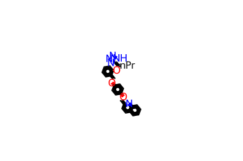 CCCC(Oc1ccccc1COc1ccc(OCc2ccc3ccccc3n2)cc1)c1nnn[nH]1